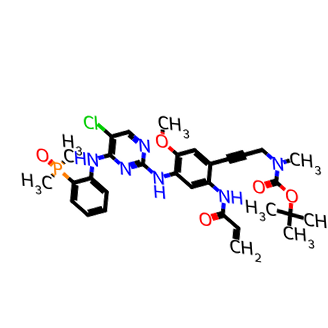 C=CC(=O)Nc1cc(Nc2ncc(Cl)c(Nc3ccccc3P(C)(C)=O)n2)c(OC)cc1C#CCN(C)C(=O)OC(C)(C)C